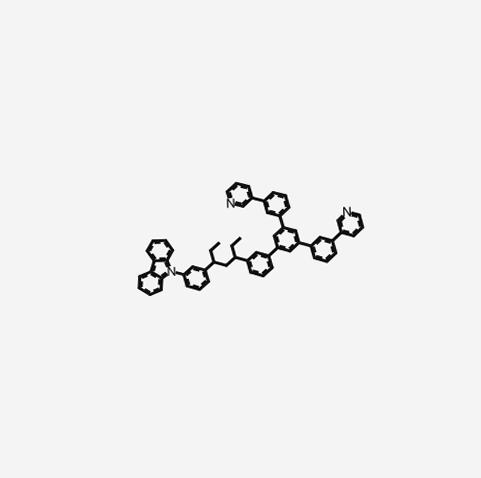 CCC(CC(CC)c1cccc(-n2c3ccccc3c3ccccc32)c1)c1cccc(-c2cc(-c3cccc(-c4cccnc4)c3)cc(-c3cccc(-c4cccnc4)c3)c2)c1